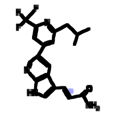 CC(C)Cc1cc(-c2cnc3[nH]cc(/C=C/C(N)=O)c3c2)cc(C(F)(F)F)n1